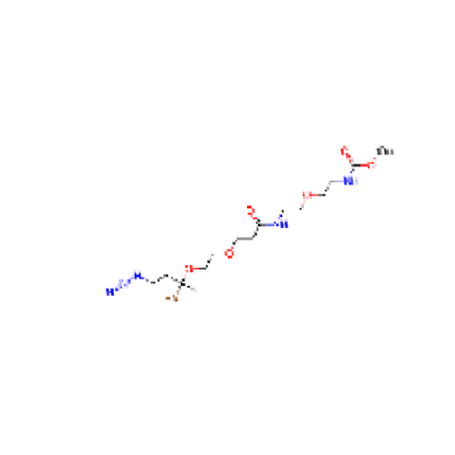 CC(C)(C)OC(=O)NCCOCCNC(=O)CCOCCOC(C)(S)CCN=[N+]=[N-]